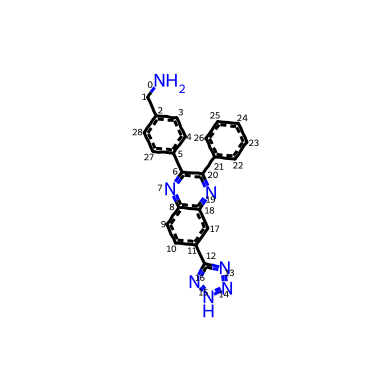 NCc1ccc(-c2nc3ccc(-c4nn[nH]n4)cc3nc2-c2ccccc2)cc1